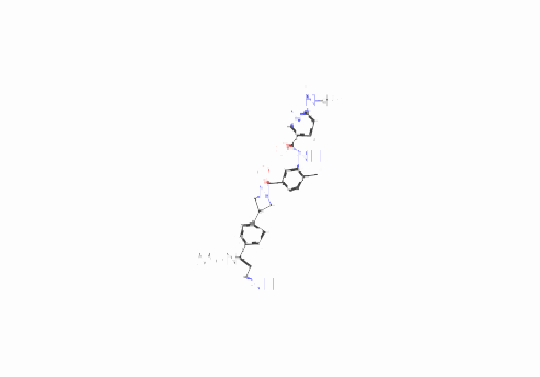 CN/C(=C\C=N)c1ccc(C2CN(C(=O)c3ccc(C)c(NC(=O)c4ccc(N(C)C(C)C)nc4)c3)C2)cc1